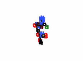 CNC(=O)[C@H](Cc1ccc(NC(=O)N(CCO[Si](C)(C)C(C)(C)C)C2CCS(=O)(=O)CC2)cc1)NC(=O)C(=O)Nc1cc(Cl)ccc1-n1cnnn1